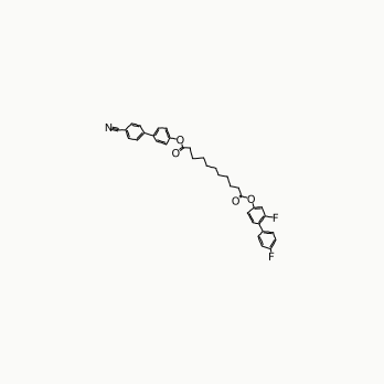 N#Cc1ccc(-c2ccc(OC(=O)CCCCCCCCCC(=O)Oc3ccc(-c4ccc(F)cc4)c(F)c3)cc2)cc1